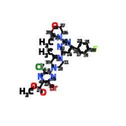 COC(=O)c1nc(Cl)c(N2CCN(c3cc(-c4ccc(F)cc4)nc(N4CCOC[C@H]4C)n3)[C@H](C)C2)nc1Br